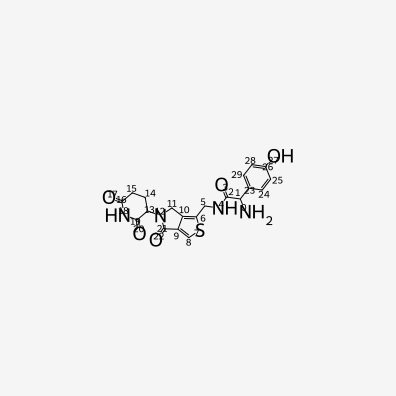 NC(C(=O)NCc1scc2c1CN(C1CCC(=O)NC1=O)C2=O)c1ccc(O)cc1